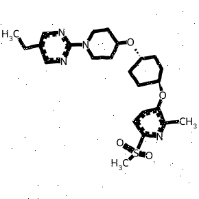 CCc1cnc(N2CCC(O[C@H]3CC[C@H](Oc4ccc(S(C)(=O)=O)nc4C)CC3)CC2)nc1